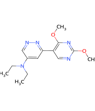 CCN(CC)c1cnnc(-c2cnc(OC)nc2OC)c1